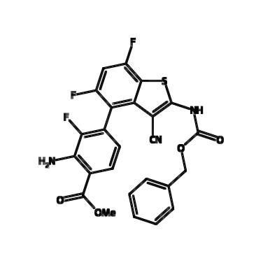 COC(=O)c1ccc(-c2c(F)cc(F)c3sc(NC(=O)OCc4ccccc4)c(C#N)c23)c(F)c1N